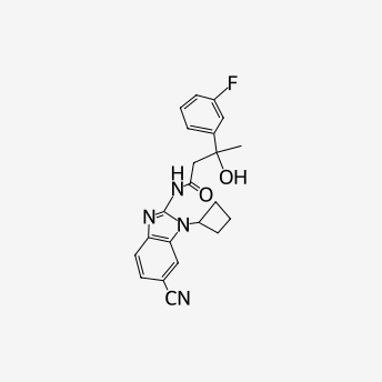 CC(O)(CC(=O)Nc1nc2ccc(C#N)cc2n1C1CCC1)c1cccc(F)c1